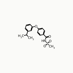 CC(C)c1cccc(Oc2ccc(C(=O)NS(C)(=O)=O)cc2)c1